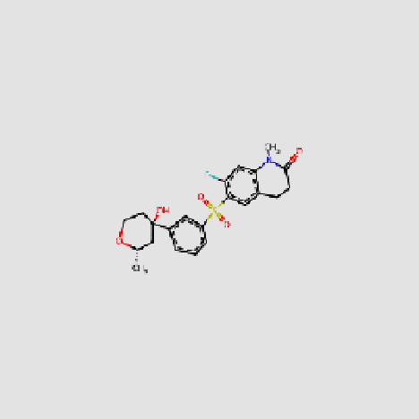 C[C@H]1C[C@@](O)(c2cccc(S(=O)(=O)c3cc4c(cc3F)N(C)C(=O)CC4)c2)CCO1